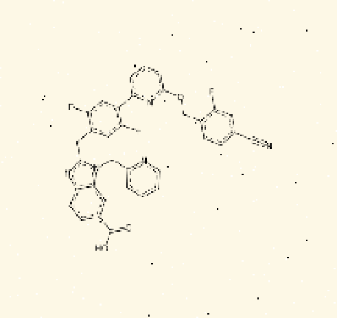 N#Cc1ccc(COc2cccc(-c3cc(F)c(Cc4nc5ccc(C(=O)O)cc5n4Cc4ccccn4)cc3F)n2)c(F)c1